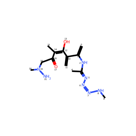 C=C(N/C(C)=N/N=N\NC)C(=C)/C(O)=C(/C)C(=O)CN(C)N